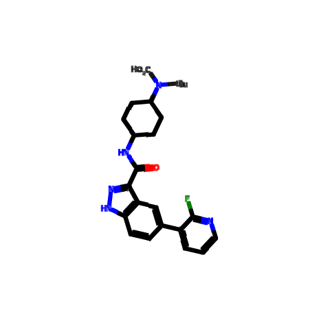 CC(C)(C)N(C(=O)O)C1CCC(NC(=O)c2n[nH]c3ccc(-c4cccnc4F)cc23)CC1